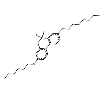 CCCCCCCCc1ccc2c(c1)C(F)(F)Cc1cc(OCCCCCC)ccc1-2